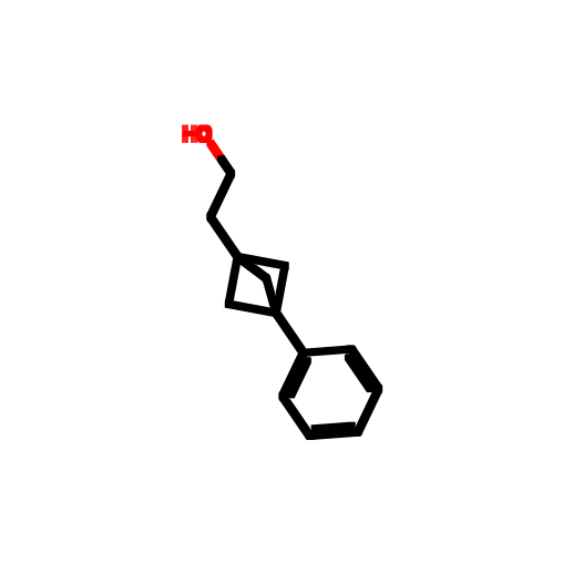 OCCC12CC(c3ccccc3)(C1)C2